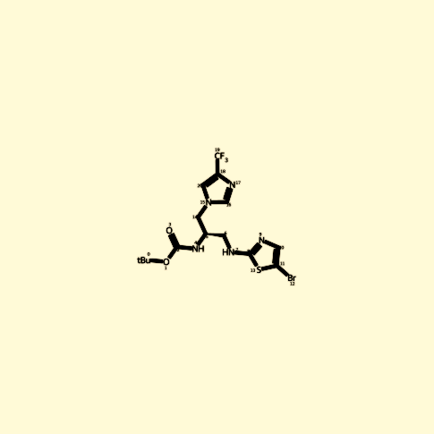 CC(C)(C)OC(=O)N[C@H](CNc1ncc(Br)s1)Cn1cnc(C(F)(F)F)c1